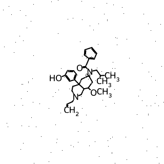 C=CCN1CCC2(c3cccc(O)c3)C[C@H](N(CC(C)C)C(=O)c3ccccc3)CC(OC)C2C1